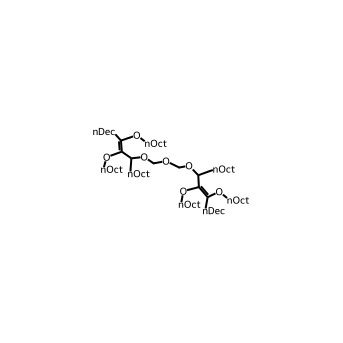 CCCCCCCCCCC(OCCCCCCCC)=C(OCCCCCCCC)C(CCCCCCCC)OCOCOC(CCCCCCCC)C(OCCCCCCCC)=C(CCCCCCCCCC)OCCCCCCCC